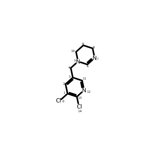 Clc1cc(CN2C=NCCC2)cnc1Cl